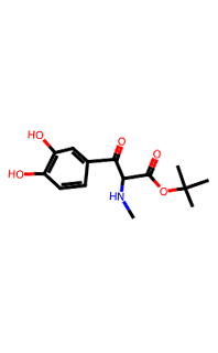 CNC(C(=O)OC(C)(C)C)C(=O)c1ccc(O)c(O)c1